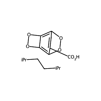 CC(C)CCC(C)C.O=C(O)c1cc2c3ooc3c1OO2